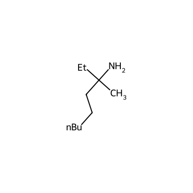 [CH2]CC(C)(N)CCCCCC